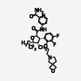 C[C@H]1[C@@H](c2ccc(F)c(F)c2OCCN2CCC3(COC3)C2)[C@H](C(=O)Nc2ccnc(C(N)=O)c2)O[C@@]1(C)C(F)(F)F